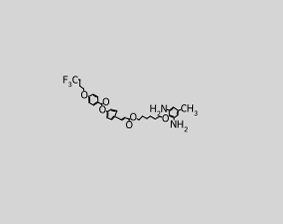 Cc1cc(N)c(OCCCCCCOC(=O)/C=C/c2ccc(OC(=O)c3ccc(OCCCC(F)(F)F)cc3)cc2)c(N)c1